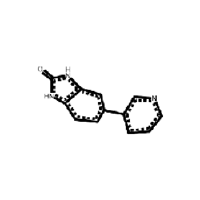 O=c1[nH]c2ccc(-c3cccnc3)cc2[nH]1